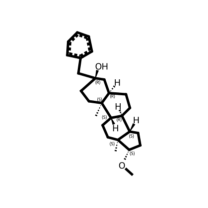 CO[C@H]1CC[C@H]2[C@@H]3CC[C@@H]4C[C@@](O)(Cc5ccccc5)CC[C@]4(C)[C@H]3CC[C@]12C